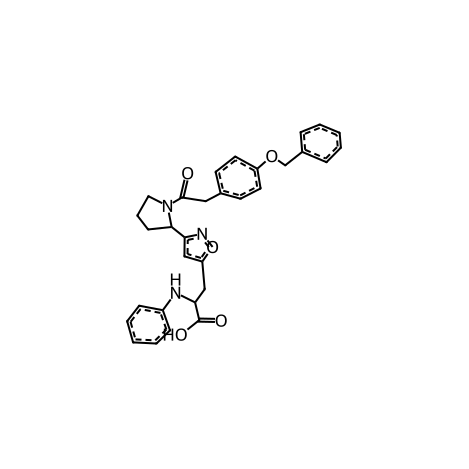 O=C(O)C(Cc1cc(C2CCCN2C(=O)Cc2ccc(OCc3ccccc3)cc2)no1)Nc1ccccc1